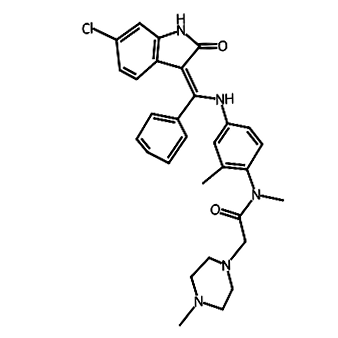 Cc1cc(N/C(=C2\C(=O)Nc3cc(Cl)ccc32)c2ccccc2)ccc1N(C)C(=O)CN1CCN(C)CC1